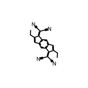 CCC1=Cc2cc3c(cc2C1=C(C#N)C#N)C=C(CC)C3=C(C#N)C#N